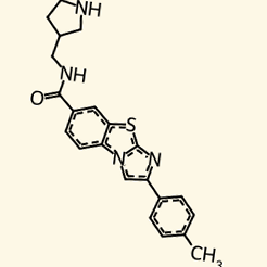 Cc1ccc(-c2cn3c(n2)sc2cc(C(=O)NCC4CCNC4)ccc23)cc1